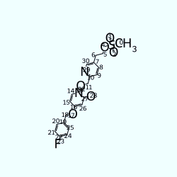 CS(=O)(=O)OCCc1ccc(COn2ccc(OCc3ccc(F)cc3)cc2=O)nc1